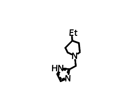 CCC1CCN(Cc2ncc[nH]2)CC1